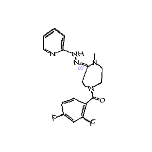 CN1CCN(C(=O)c2ccc(F)cc2F)C/C1=N/Nc1ccccn1